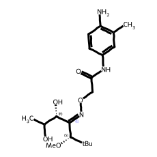 CO[C@H](/C(=N/OCC(=O)Nc1ccc(N)c(C)c1)[C@@H](O)C(C)O)C(C)(C)C